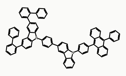 c1ccc(-c2ccccc2-c2ccc3c(c2)c2cc(-c4ccccc4-c4ccccc4)ccc2n3-c2ccc(-c3ccc4c(c3)c3ccccc3n4-c3ccc(-c4c5ccccc5c(-c5ccccc5)c5ccccc45)cc3)cc2)cc1